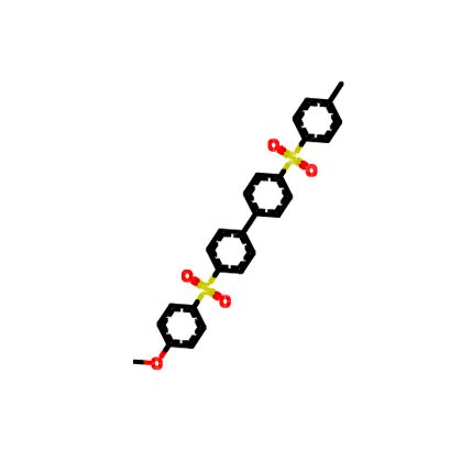 COc1ccc(S(=O)(=O)c2ccc(-c3ccc(S(=O)(=O)c4ccc(C)cc4)cc3)cc2)cc1